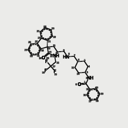 O=C(NC1CCC(CNCCCC2(C(=O)NCC(F)(F)F)c3ccccc3-c3ccccc32)CC1)c1ccccc1